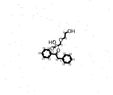 O=P(O)(COCCO)OC(Cc1ccccc1)c1ccccc1